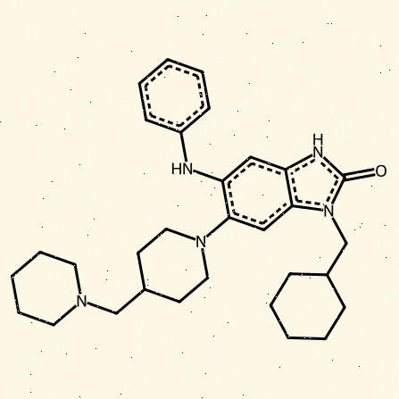 O=c1[nH]c2cc(Nc3ccccc3)c(N3CCC(CN4CCCCC4)CC3)cc2n1CC1CCCCC1